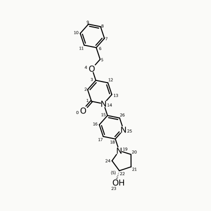 O=c1cc(OCc2ccccc2)ccn1-c1ccc(N2CC[C@H](O)C2)nc1